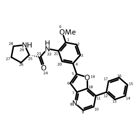 COc1ccc(-c2cc3nccc(-c4ccccc4)c3o2)cc1NC(=O)[C@@H]1CCCN1